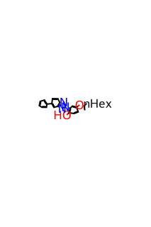 CCCCCCC(C)Oc1ccc(O)c(-n2nc3ccc(-c4ccccc4)cc3n2)c1